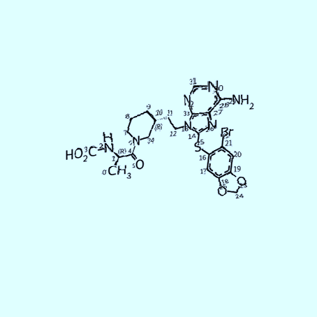 C[C@@H](NC(=O)O)C(=O)N1CCC[C@H](CCn2c(Sc3cc4c(cc3Br)OCO4)nc3c(N)ncnc32)C1